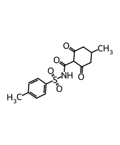 Cc1ccc(S(=O)(=O)NC(=O)C2C(=O)CC(C)CC2=O)cc1